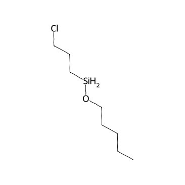 CCCCCO[SiH2]CCCCl